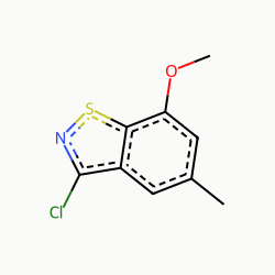 COc1cc(C)cc2c(Cl)nsc12